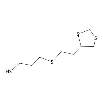 SCCCSCCC1CSCS1